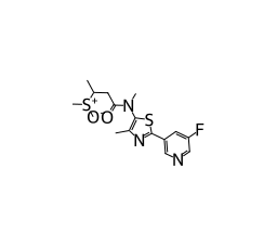 Cc1nc(-c2cncc(F)c2)sc1N(C)C(=O)CC(C)[S+](C)[O-]